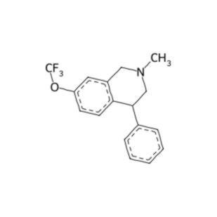 CN1Cc2cc(OC(F)(F)F)ccc2C(c2ccccc2)C1